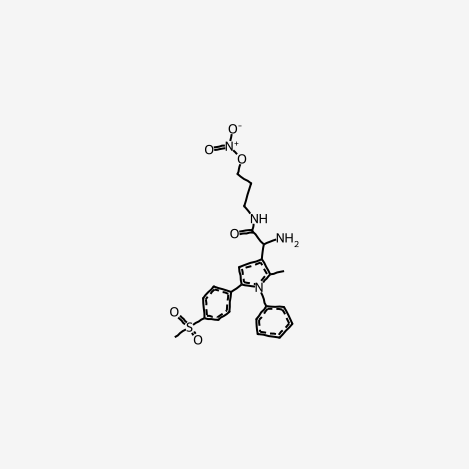 Cc1c(C(N)C(=O)NCCCO[N+](=O)[O-])cc(-c2ccc(S(C)(=O)=O)cc2)n1-c1ccccc1